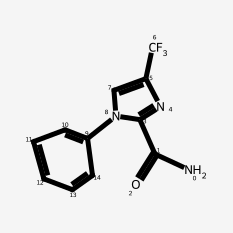 NC(=O)c1nc(C(F)(F)F)cn1-c1ccccc1